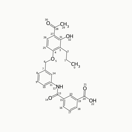 CCCc1c(OCc2cccc(NC(=O)c3cccc(C(=O)O)c3)c2)ccc(C(C)=O)c1O